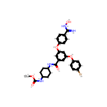 CC(C)(C)OC(=O)NC1CCC(NC(=O)c2cc(Oc3ccc(Br)cc3)cc(Oc3ccc(C(=N)NO)cc3)c2)CC1